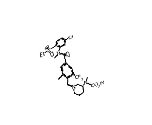 CCS(=O)(=O)c1ccc(Cl)cc1N(C)C(=O)c1cc(C)c(CN2CCC[C@H](N(C)C(=O)O)C2)c(C(F)(F)F)c1